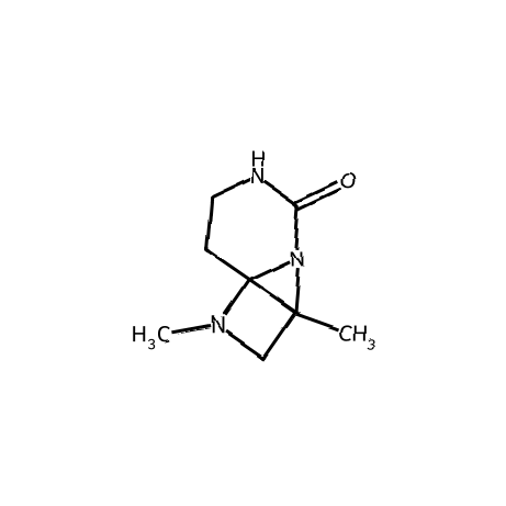 CN1CC2(C)N3C(=O)NCCC132